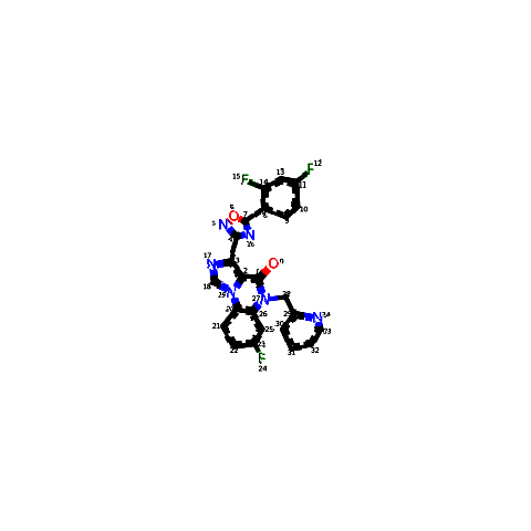 O=c1c2c(-c3noc(-c4ccc(F)cc4F)n3)ncn2c2ccc(F)cc2n1Cc1ccccn1